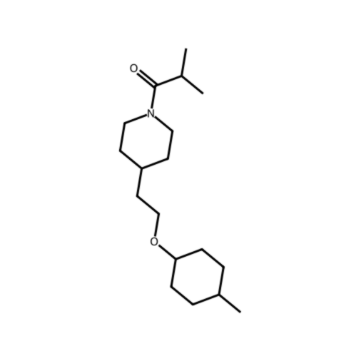 CC1CCC(OCCC2CCN(C(=O)C(C)C)CC2)CC1